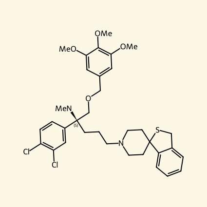 CN[C@](CCCN1CCC2(CC1)SCc1ccccc12)(COCc1cc(OC)c(OC)c(OC)c1)c1ccc(Cl)c(Cl)c1